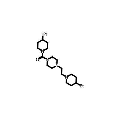 CCC1CCN(CCN2CCN(C(=O)N3CCC(C(C)C)CC3)CC2)CC1